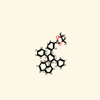 CC1(C)OB(c2cccc(-c3cc(-c4ccccc4)c4c(c3-c3ccccc3)-c3cccc5cccc-4c35)c2)OC1(C)C